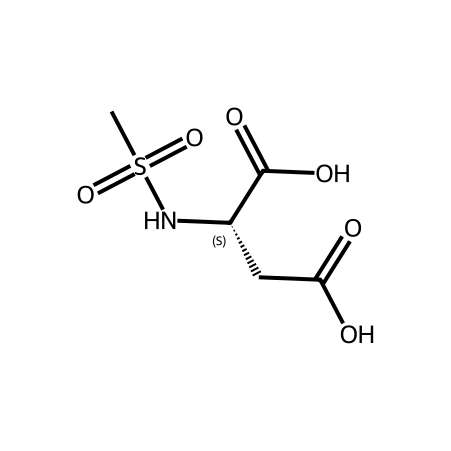 CS(=O)(=O)N[C@@H](CC(=O)O)C(=O)O